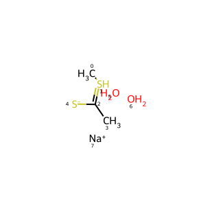 C[SH]=C(C)[S-].O.O.[Na+]